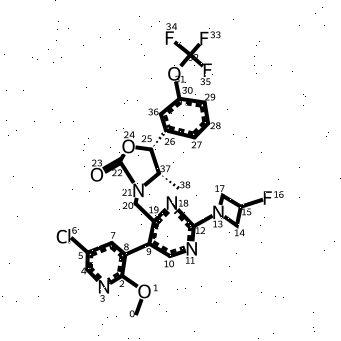 COc1ncc(Cl)cc1-c1cnc(N2CC(F)C2)nc1CN1C(=O)O[C@H](c2cccc(OC(F)(F)F)c2)[C@@H]1C